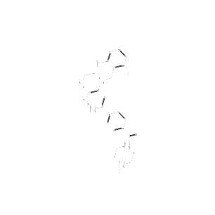 CN1CCN(C(=O)c2ccc(-c3cc4c(nn3)NCCN4Cc3c(Cl)ccc(F)c3Cl)cc2)CC1